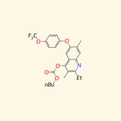 CCCCOC(=O)Oc1c(C)c(CC)nc2cc(C)c(Oc3ccc(OC(F)(F)F)cc3)cc12